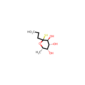 C[C@@H]1O[C@](S)(CCC(=O)O)[C@@H](O)[C@H](O)[C@@H]1O